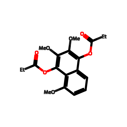 CCC(=O)Oc1c(OC)c(OC)c(OC(=O)CC)c2c(OC)cccc12